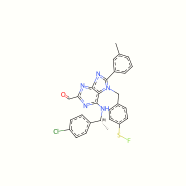 Cc1cccc(-c2nc3nc(C=O)nc(N[C@H](C)c4ccc(Cl)cc4)c3n2Cc2ccc(SF)cc2)c1